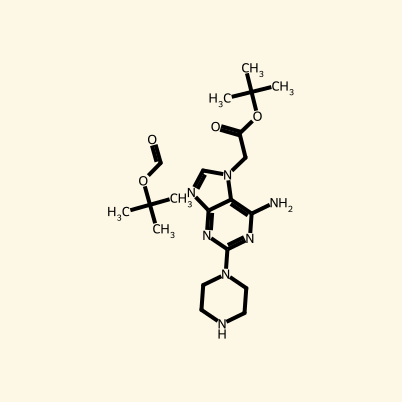 CC(C)(C)OC(=O)Cn1cnc2nc(N3CCNCC3)nc(N)c21.CC(C)(C)OC=O